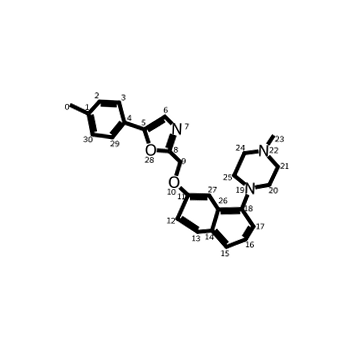 Cc1ccc(-c2cnc(COc3ccc4cccc(N5CCN(C)CC5)c4c3)o2)cc1